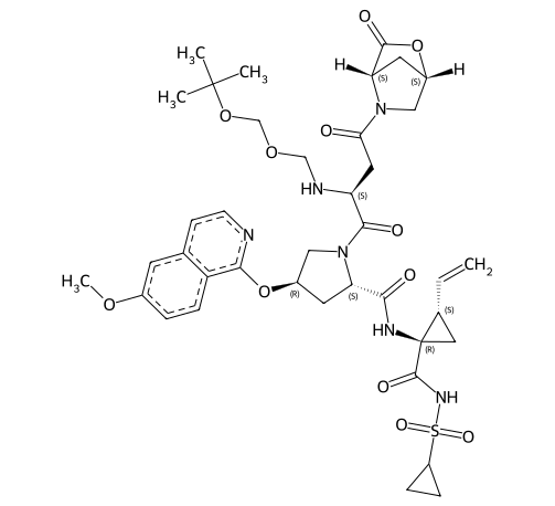 C=C[C@@H]1C[C@]1(NC(=O)[C@@H]1C[C@@H](Oc2nccc3cc(OC)ccc23)CN1C(=O)[C@H](CC(=O)N1C[C@@H]2C[C@H]1C(=O)O2)NCOCOC(C)(C)C)C(=O)NS(=O)(=O)C1CC1